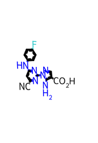 N#Cc1cc(Nc2ccc(F)cc2)nc(-n2ncc(C(=O)O)c2N)n1